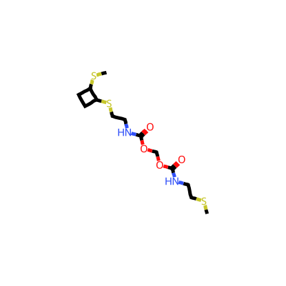 CSCCNC(=O)OCOC(=O)NCCSC1CCC1SC